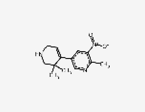 Cc1ncc(C2=CCNCC2(C)C)cc1[N+](=O)[O-]